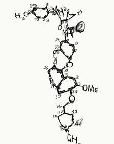 COc1cc2c(Oc3ccc(NC(=O)C4(C(=O)Nc5ccc(C)cc5)CC4)cc3F)ccnc2cc1OCC1CCN(C)CC1